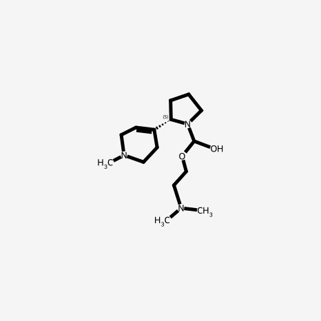 CN(C)CCOC(O)N1CCC[C@H]1C1=CCN(C)CC1